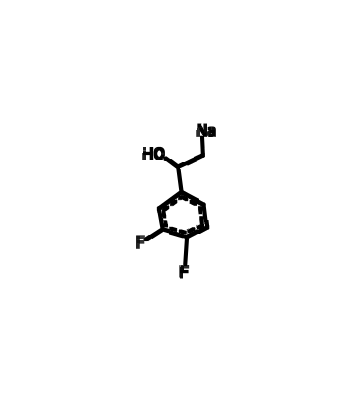 OC([CH2][Na])c1ccc(F)c(F)c1